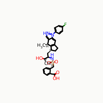 C[C@H]1C2=CNN(c3ccc(F)cc3)C2=CC2=C1[C@H](CC(NS(=O)(=O)Cc1ccccc1C(=O)O)[C@@H](C)O)CC2